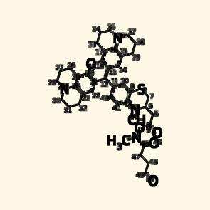 CN(OC(=O)CC1CSc2cc(C3=c4cc5c6c(c4Oc4c3cc3c7c4CCCN7CCC3)CCC[N+]=6CCC5)ccc2N1C)C(=O)CCC=O